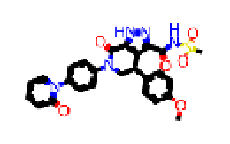 COc1ccc(C2CN(c3ccc(-n4ccccc4=O)cc3)C(=O)c3[nH]nc(C(=O)NS(C)(=O)=O)c32)cc1